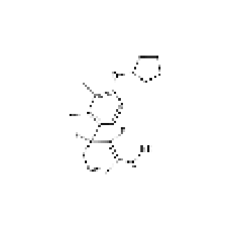 CCSC1=C(F)C(F)(c2ccc(OC3CCCC3)c(F)c2F)CC=C1